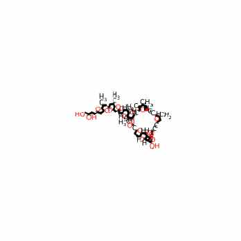 C=C1C2C[C@@H]3O[C@H]4C[C@H]5O[C@]6(CC7O[C@]8(C[C@H](C)C9O[C@H](CC[C@@H](O)CO)CC9O8)C[C@H](C)C7O6)C[C@H]5O[C@H]4[C@H](C)[C@H]3OC(=O)CC3CC[C@@H]4O[C@@H]5C6[C@@H](O[C@@]7(CCC8CC(=C)[C@H](CC[C@@H](C[C@H]1C)O2)O8)CC1(O)OC6(O7)C51)[C@H]4O3